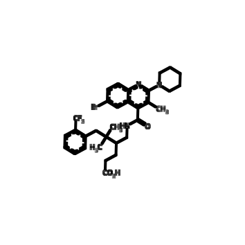 Cc1c(N2CCCCC2)nc2ccc(Br)cc2c1C(=O)NCC(CCC(=O)O)C(C)(C)Cc1ccccc1C(F)(F)F